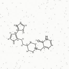 O=c1[nH]cccc1CN1CCC(CCc2sccc2-c2nccs2)CC1